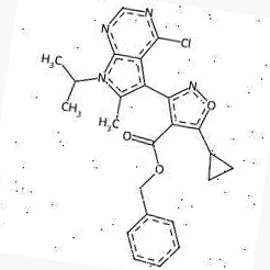 Cc1c(-c2noc(C3CC3)c2C(=O)OCc2ccccc2)c2c(Cl)ncnc2n1C(C)C